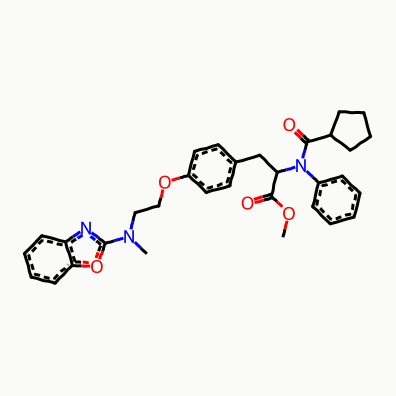 COC(=O)C(Cc1ccc(OCCN(C)c2nc3ccccc3o2)cc1)N(C(=O)C1CCCC1)c1ccccc1